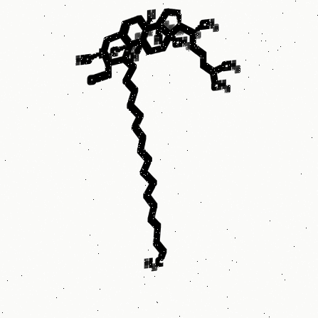 CCCCCCCCCCCCCCCCCCC1C(C=O)[C@H](O)CC2=CC[C@H]3[C@@H]4CC[C@H]([C@H](C)CCCC(C)C)[C@@]4(C)CC[C@@H]3[C@]21C